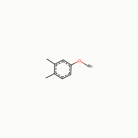 CCC(C)Oc1ccc(C)c(C)c1